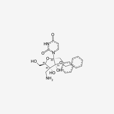 NC[C@@]1(O)[C@@H](CO)O[C@@](Cc2ccccc2)(n2ccc(=O)[nH]c2=O)[C@@]1(O)OCc1ccccc1